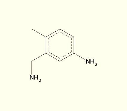 Cc1ccc(N)cc1CN